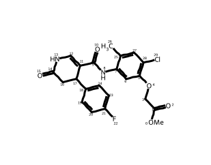 COC(=O)COc1cc(NC(=O)C2=CNC(=O)CC2c2ccc(F)cc2)c(C)cc1Cl